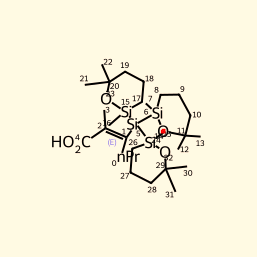 CCC/C(=C(/C)C(=O)O)[Si]([Si]1(C)CCCC(C)(C)O1)([Si]1(C)CCCC(C)(C)O1)[Si]1(C)CCCC(C)(C)O1